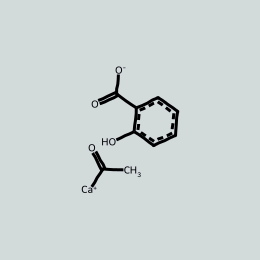 C[C](=O)[Ca+].O=C([O-])c1ccccc1O